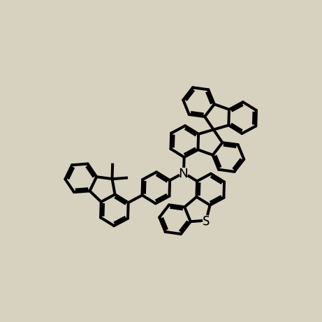 CC1(C)c2ccccc2-c2cccc(-c3ccc(N(c4cccc5c4-c4ccccc4C54c5ccccc5-c5ccccc54)c4cccc5sc6ccccc6c45)cc3)c21